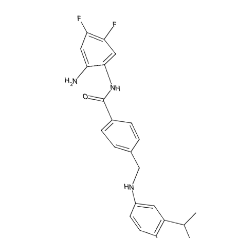 COc1ccc(NCc2ccc(C(=O)Nc3cc(F)c(F)cc3N)cc2)cc1C(C)O